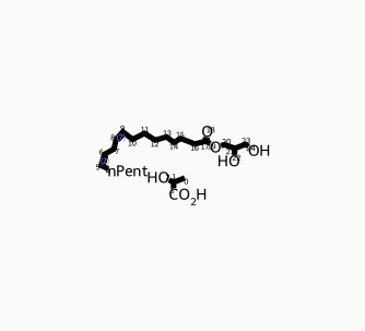 CC(O)C(=O)O.CCCCC/C=C\C/C=C\CCCCCCCC(=O)OCC(O)CO